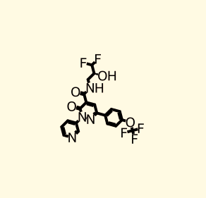 O=C(NC[C@H](O)C(F)F)c1cc(-c2ccc(OC(F)(F)F)cc2)nn(-c2cccnc2)c1=O